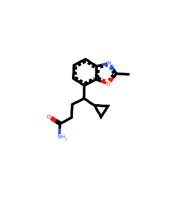 Cc1nc2cccc(C(CCC(N)=O)C3CC3)c2o1